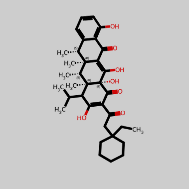 CCC1(CC(=O)C2=C(O)C(C(C)C)[C@@]3(C)[C@H](C)[C@]4(C)C(=C(O)[C@@]3(O)C2=O)C(=O)c2c(O)cccc2[C@H]4C)CCCCC1